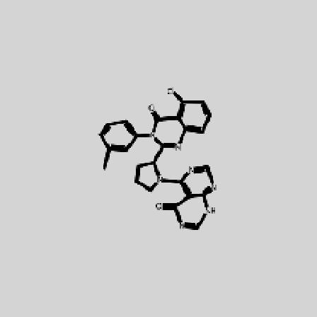 Cc1cccc(-n2c(C3CCCN3c3ncnc4[nH]cnc(=O)c34)nc3cccc(Cl)c3c2=O)c1